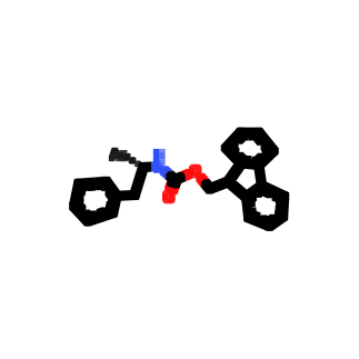 CC(=O)[C@@H](Cc1ccccc1)NC(=O)OCC1c2ccccc2-c2ccccc21